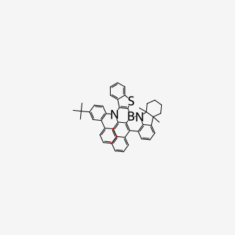 CC(C)(C)c1ccc(N2c3cc4ccccc4c4c3B(c3sc5ccccc5c32)N2c3c-4cccc3C3(C)CCCCC23C)c(-c2ccccc2)c1